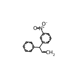 C=CC(c1ccccc1)c1cccc([N+](=O)[O-])c1